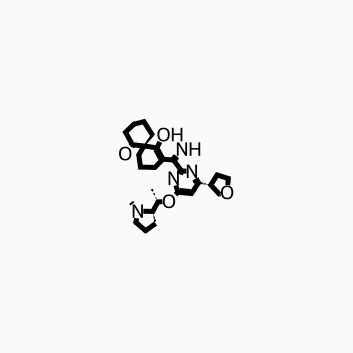 C[C@H](Oc1cc([C@@H]2CCOC2)nc(C(=N)C2=C(O)[C@]3(CCCCC3=O)CCC2)n1)[C@@H]1CCCN1C